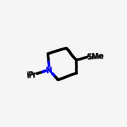 CSC1CCN(C(C)C)CC1